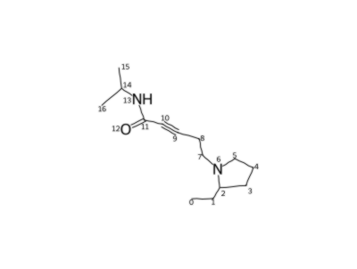 CCC1CCCN1CCC#CC(=O)NC(C)C